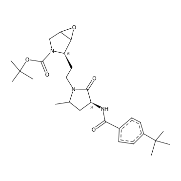 CC1C[C@H](NC(=O)c2ccc(C(C)(C)C)cc2)C(=O)N1CC[C@@H]1C2OC2CN1C(=O)OC(C)(C)C